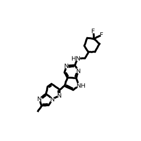 Cc1cn2nc(-c3c[nH]c4nc(NCC5CCC(F)(F)CC5)ncc34)ccc2n1